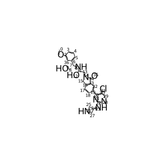 COc1cccc([C@@H](CO)NC(O)CN2Cc3ccc(-c4nc(NC5CNC5)ncc4Cl)cc3C2=O)c1